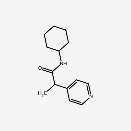 CC(C(=O)NC1CCCCC1)c1ccncc1